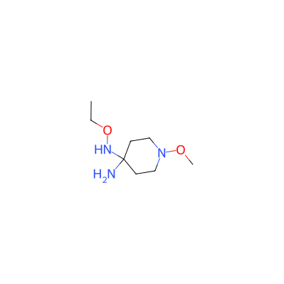 CCONC1(N)CCN(OC)CC1